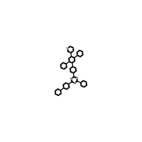 c1ccc(-c2ccc(-c3nc(-c4ccccc4)nc(-c4ccc(-c5cc(-c6ccccc6)c(-c6cccnc6)cc5-c5ccccc5)cc4)n3)cc2)cc1